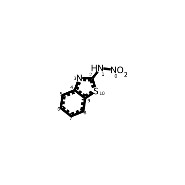 O=[N+]([O-])Nc1nc2ccccc2s1